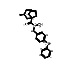 CC1CC2=CCC(C(=O)N(O)Cc3ccc(Nc4ccccc4)cc3)(C2)C1